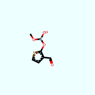 COB(O)Oc1sccc1C=O